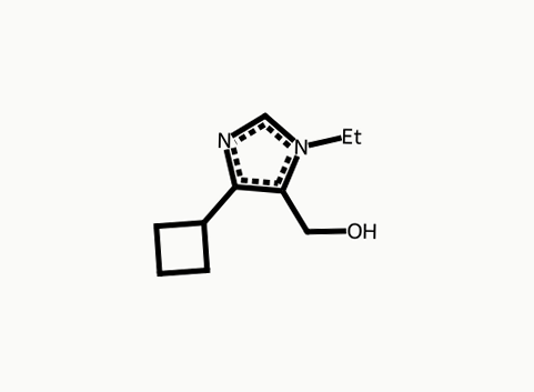 CCn1cnc(C2CCC2)c1CO